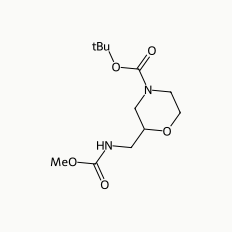 COC(=O)NCC1CN(C(=O)OC(C)(C)C)CCO1